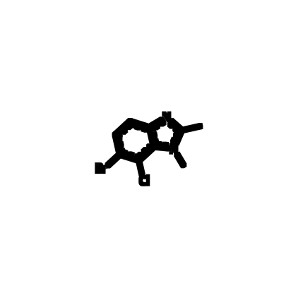 Cc1nc2ccc(Br)c(Cl)c2n1C